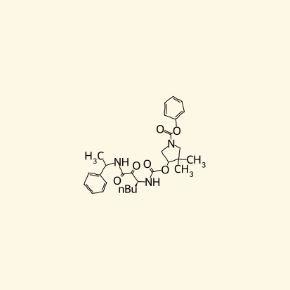 CCCC[C@H](NC(=O)OC1CN(C(=O)Oc2ccccc2)CC1(C)C)C(=O)C(=O)NC(C)c1ccccc1